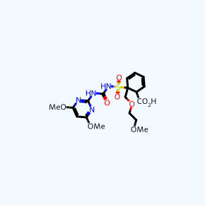 COCCOCC1(S(=O)(=O)NC(=O)Nc2nc(OC)cc(OC)n2)C=CC=CC1C(=O)O